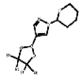 CCC1(CC)OB(c2cnn(C3CCCCO3)c2)OC1(CC)CC